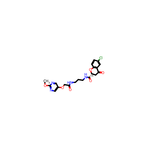 COc1ncc(OCC(=O)NCCCNC(=O)[C@H]2CC(=O)c3cc(Cl)ccc3O2)cn1